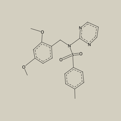 COc1ccc(CN(c2ncccn2)S(=O)(=O)c2ccc(C)cc2)c(OC)c1